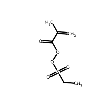 C=C(C)C(=O)OOS(=O)(=O)CC